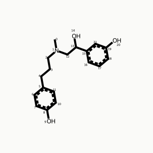 CN(CCCc1ccc(O)cc1)CC(O)c1cccc(O)c1